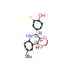 CC(C)(C)c1ccc2c(c1)[C@@H]1OCCO[C@@H]1[C@@H](c1ccc(O)c(F)c1)N2